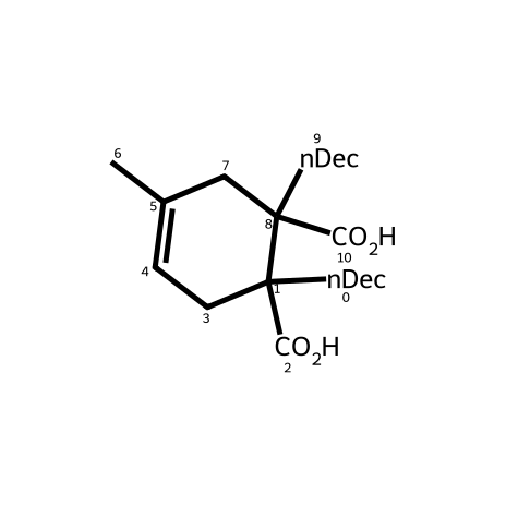 CCCCCCCCCCC1(C(=O)O)CC=C(C)CC1(CCCCCCCCCC)C(=O)O